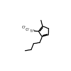 CCCCC1=CCC(C)=[C]1[Ti+2].[Cl-].[Cl-]